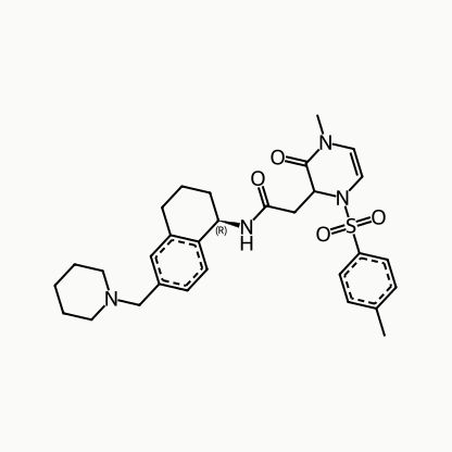 Cc1ccc(S(=O)(=O)N2C=CN(C)C(=O)C2CC(=O)N[C@@H]2CCCc3cc(CN4CCCCC4)ccc32)cc1